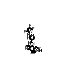 C[C@H]1CN(c2nc(-c3ccnc(Nc4nc(F)c(F)cc4F)c3)nc3cncc(C4=CC=C4)c23)CCN1